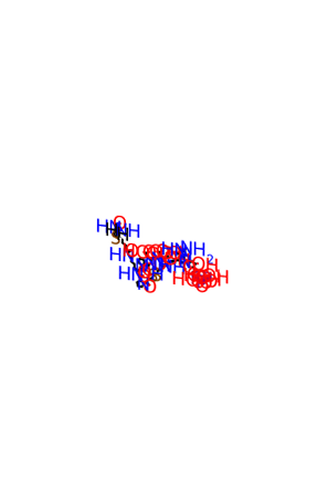 Nc1nc2c(c(C#CCNC(=O)CCSSCCC(=O)N3CCCC3C(=O)NC(CCCCNC(=O)CCCC[C@@H]3SC[C@@H]4NC(=O)N[C@@H]43)C(=O)N3CCCC3C(=O)NC(CC(=O)O)C(=O)NC(CC(=O)O)C(=O)O)cn2C2CC(O)C(COP(=O)(O)OP(=O)(O)OP(=O)(O)O)O2)c(=O)[nH]1